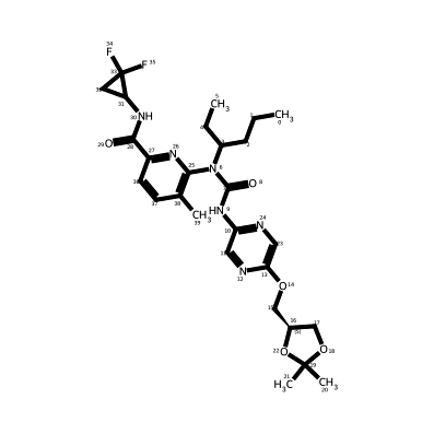 CCCC(CC)N(C(=O)Nc1cnc(OC[C@H]2COC(C)(C)O2)cn1)c1nc(C(=O)NC2CC2(F)F)ccc1C